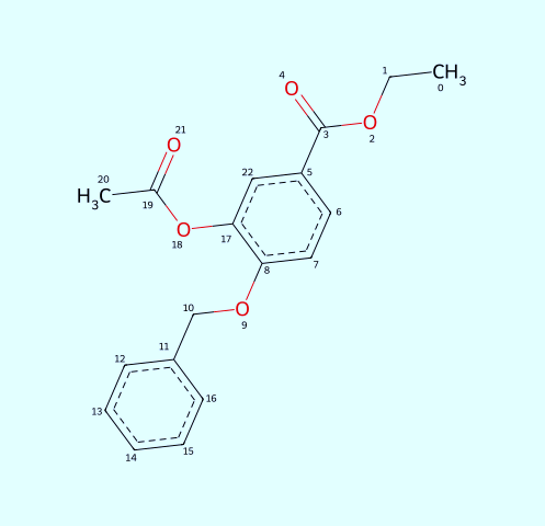 CCOC(=O)c1ccc(OCc2ccccc2)c(OC(C)=O)c1